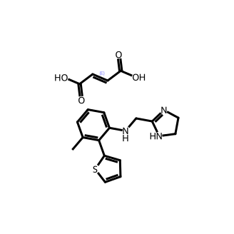 Cc1cccc(NCC2=NCCN2)c1-c1cccs1.O=C(O)/C=C/C(=O)O